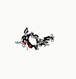 COC(C)c1ncc(N2CCN(C)CC2)cc1-c1c2c3c(F)c(ccc3n1CC(F)(F)F)-c1csc(n1)C[C@H](NC(=O)[C@H](C(C)C)N(C)C(=O)C1CCN(C(=O)C(F)Cl)C1)C(=O)N1CCCC(N1)C(=O)OCC(C)(C)C2